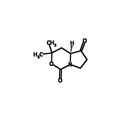 CC1(C)C[C@H]2C(=O)CCN2C(=O)O1